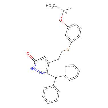 C[C@H](Oc1cccc(SCCc2cc(=O)[nH]nc2C(c2ccccc2)c2ccccc2)c1)C(=O)O